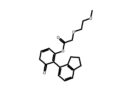 COCCOCC(=O)OC1=C(c2cccc3c2CCC3)C(=O)CC=C1